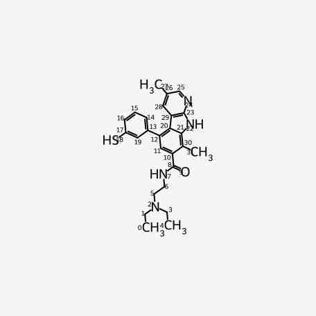 CCN(CC)CCNC(=O)c1cc(-c2cccc(S)c2)c2c([nH]c3ncc(C)cc32)c1C